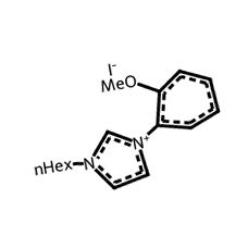 CCCCCCn1cc[n+](-c2ccccc2OC)c1.[I-]